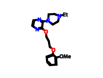 CCN1CCN(c2nccnc2OCCCOc2ccccc2OC)CC1